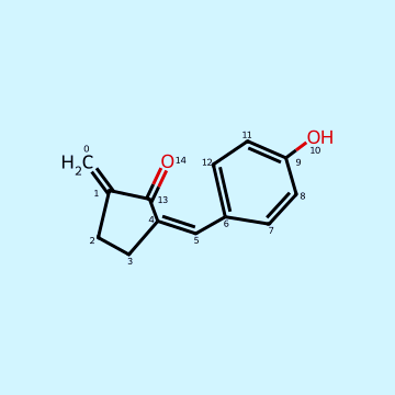 C=C1CCC(=Cc2ccc(O)cc2)C1=O